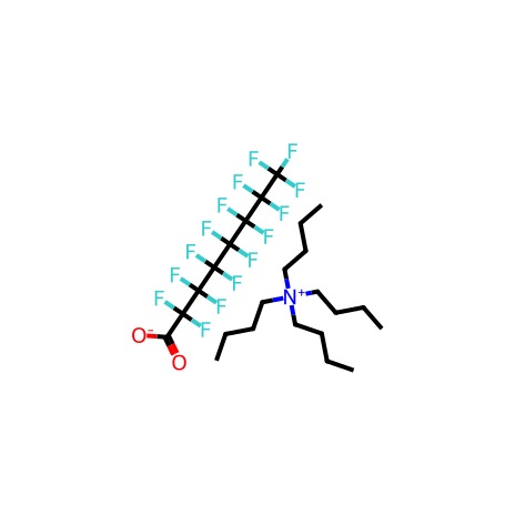 CCCC[N+](CCCC)(CCCC)CCCC.O=C([O-])C(F)(F)C(F)(F)C(F)(F)C(F)(F)C(F)(F)C(F)(F)C(F)(F)F